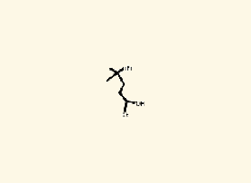 CCCC(C)(C)CCC(O)CC